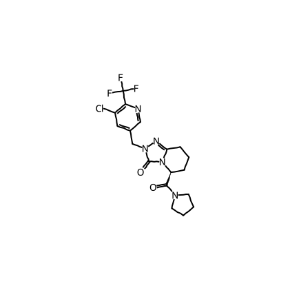 O=C([C@@H]1CCCc2nn(Cc3cnc(C(F)(F)F)c(Cl)c3)c(=O)n21)N1CCCC1